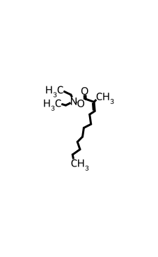 CCCCCCCCC=C(C)C(=O)ON(CC)CC